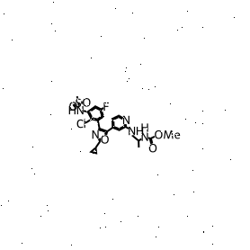 COC(=O)NC(C)CNc1cc(-c2oc(C3CC3)nc2-c2cc(F)cc(NS(C)(=O)=O)c2Cl)ccn1